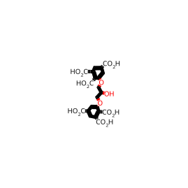 O=C(O)c1cc(OCC(O)COc2cc(C(=O)O)cc(C(=O)O)c2C(=O)O)c(C(=O)O)c(C(=O)O)c1